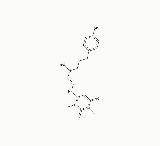 Cn1c(NCCN(CCCc2ccc(N)cc2)C(C)(C)C)cc(=O)n(C)c1=O